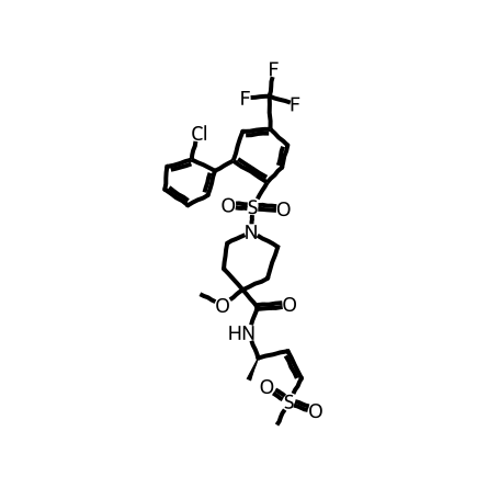 COC1(C(=O)N[C@H](C)/C=C\S(C)(=O)=O)CCN(S(=O)(=O)c2ccc(C(F)(F)F)cc2-c2ccccc2Cl)CC1